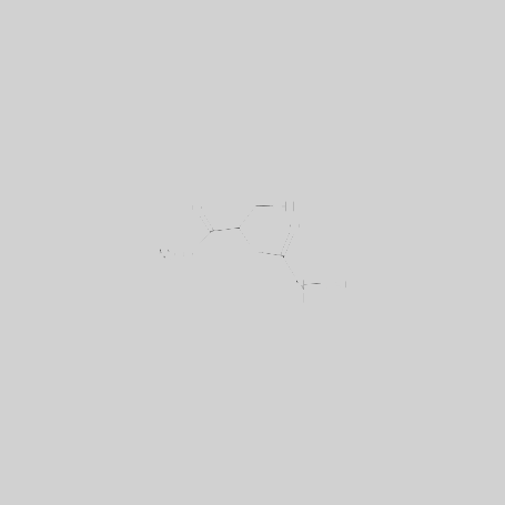 COC(=O)C(CO)OC(=O)NC(C)(C)C